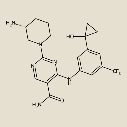 NC(=O)c1cnc(N2CCC[C@@H](N)C2)nc1Nc1cc(C(F)(F)F)cc(C2(O)CC2)c1